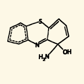 NC1(O)C=CC=C2Sc3ccccc3N=C21